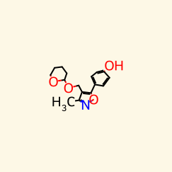 Cc1noc(-c2ccc(O)cc2)c1COC1CCCCO1